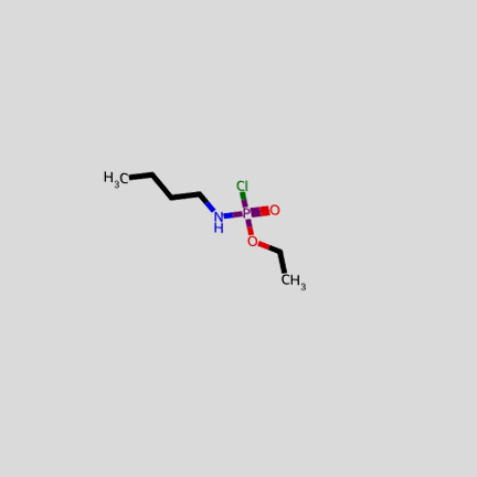 CCCCNP(=O)(Cl)OCC